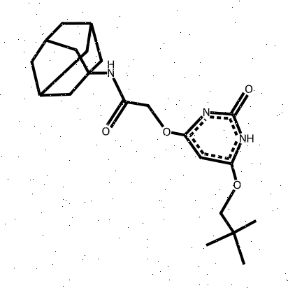 CC(C)(C)COc1cc(OCC(=O)NC23CC4CC(CC(C4)C2)C3)nc(=O)[nH]1